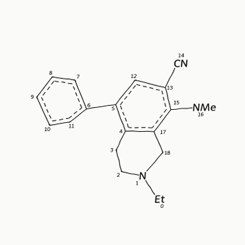 CCN1CCc2c(-c3ccccc3)cc(C#N)c(NC)c2C1